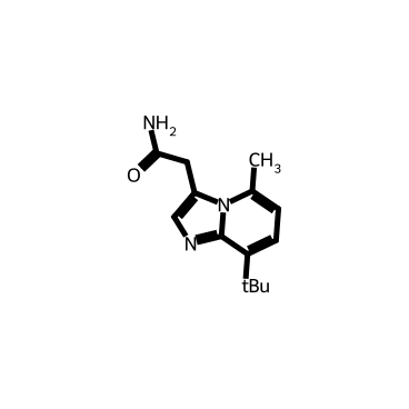 Cc1ccc(C(C)(C)C)c2ncc(CC(N)=O)n12